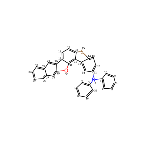 c1ccc(N(c2ccccc2)c2ccc3sc4ccc5c6cc7ccccc7cc6oc5c4c3c2)cc1